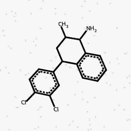 CC1CC(c2ccc(Cl)c(Cl)c2)c2ccccc2C1N